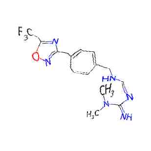 CN(C)C(=N)/N=C\NCc1ccc(-c2noc(C(F)(F)F)n2)cc1